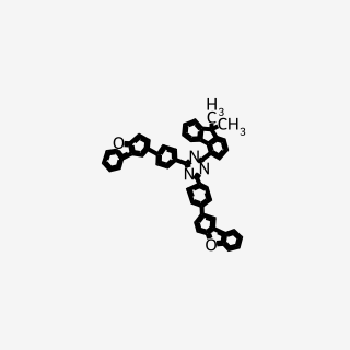 CC1(C)c2ccccc2-c2c(-c3nc(-c4ccc(-c5ccc6oc7ccccc7c6c5)cc4)nc(-c4ccc(-c5ccc6oc7ccccc7c6c5)cc4)n3)cccc21